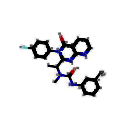 CC(c1nc2ncccc2c(=O)n1-c1ccc(F)cc1)N(C)C(=O)Nc1cccc(C(F)(F)F)c1